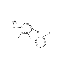 Cc1c(NN)ccc(Oc2ccccc2F)c1C